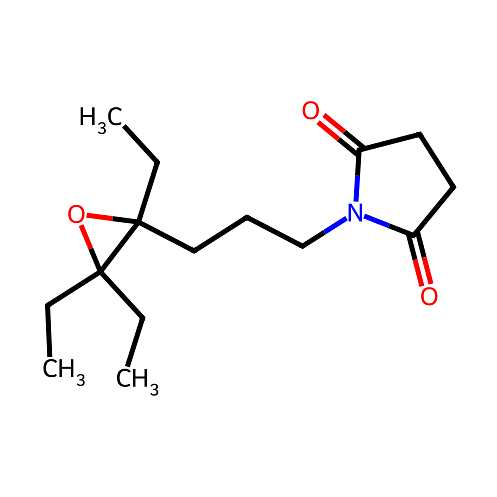 CCC1(CC)OC1(CC)CCCN1C(=O)CCC1=O